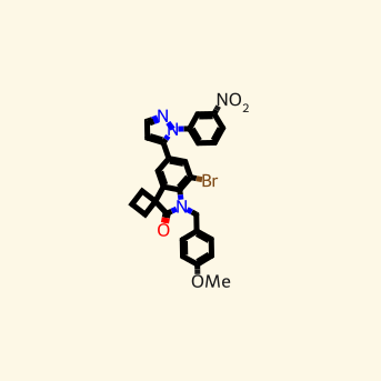 COc1ccc(CN2C(=O)C3(CCC3)c3cc(-c4ccnn4-c4cccc([N+](=O)[O-])c4)cc(Br)c32)cc1